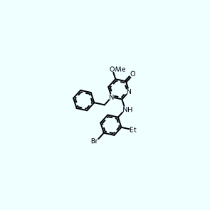 CCc1cc(Br)ccc1Nc1nc(=O)c(OC)cn1Cc1ccccc1